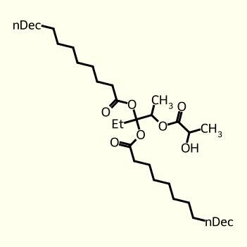 CCCCCCCCCCCCCCCCCC(=O)OC(CC)(OC(=O)CCCCCCCCCCCCCCCCC)C(C)OC(=O)C(C)O